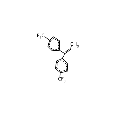 CC=C(c1ccc(C(F)(F)F)cc1)c1ccc(C(F)(F)F)cc1